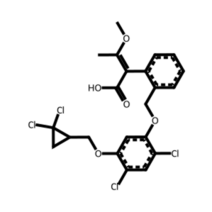 COC(C)=C(C(=O)O)c1ccccc1COc1cc(OCC2CC2(Cl)Cl)c(Cl)cc1Cl